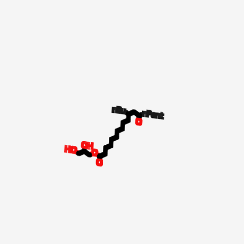 CCCCCC(=O)CC(CCCC)CCCCCCCCCC(=O)OCC(O)CO